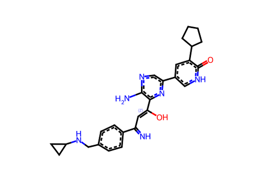 N=C(/C=C(\O)c1nc(-c2c[nH]c(=O)c(C3CCCC3)c2)cnc1N)c1ccc(CNC2CC2)cc1